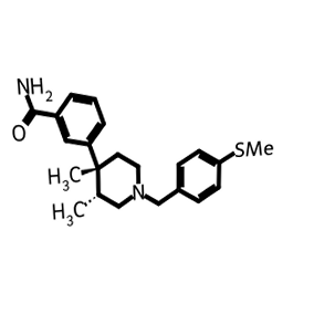 CSc1ccc(CN2CC[C@@](C)(c3cccc(C(N)=O)c3)[C@@H](C)C2)cc1